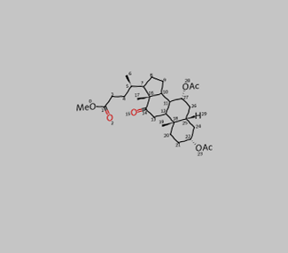 COC(=O)CC[C@@H](C)C1CCC2C3C(CC(=O)[C@@]21C)[C@@]1(C)CC[C@@H](OC(C)=O)C[C@H]1C[C@H]3OC(C)=O